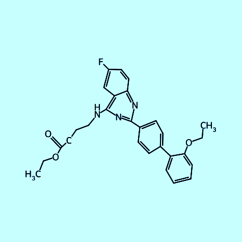 CCOC(=O)CCCNc1nc(-c2ccc(-c3ccccc3OCC)cc2)nc2ccc(F)cc12